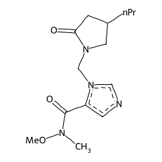 CCCC1CC(=O)N(Cn2cncc2C(=O)N(C)OC)C1